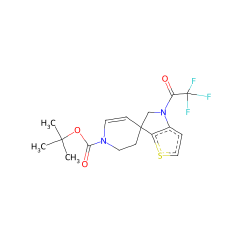 CC(C)(C)OC(=O)N1C=CC2(CC1)CN(C(=O)C(F)(F)F)c1ccsc12